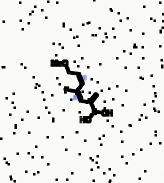 C=C(/C=C(F)\C=C/COC)B(O)O